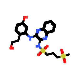 CS(=O)(=O)CCCS(=O)(=O)Nc1nc2ccccc2nc1Nc1cc(O)ccc1CCO